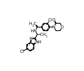 C=C(N[C@@H](C)c1nc2cc(Cl)ccc2[nH]1)c1ccc(N2CCOCC2=O)c(Cl)c1